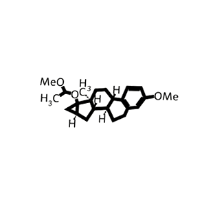 COc1ccc2c(c1)CC[C@@H]1[C@@H]2CC[C@@]2(C)[C@H]1C[C@H]1CC12OC(C)OC